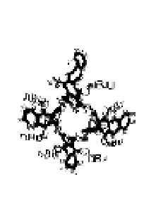 CCCCOc1c2c(c(OCCCC)c3cc4ccccc4cc13)-c1nc-2nc2[nH]c(nc3nc(nc4c5c(OCCCC)c6cc7ccccc7cc6c(OCCCC)c5c(n1)n4C)-c1c-3c(OCCCC)c3ccccc3c1OCCCC)c1c(OCCCC)c3ncccc3c(OCCCC)c21